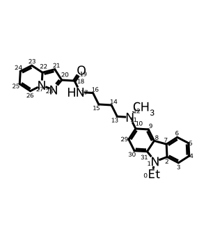 CCn1c2ccccc2c2cc(N(C)CCCCNC(=O)c3cc4ccccn4n3)ccc21